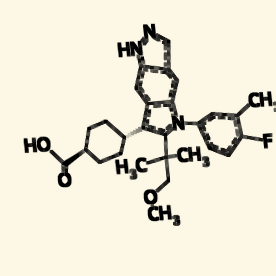 COCC(C)(C)c1c([C@H]2CC[C@H](C(=O)O)CC2)c2cc3[nH]ncc3cc2n1-c1ccc(F)c(C)c1